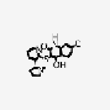 CN1CCC[C@H]1c1cccnc1Sc1c(O)c2ccc(Cl)cc2[nH]c1=O